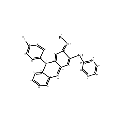 CC(C)/N=c1\cc2n(-c3ccc(F)cc3)c3ccccc3nc-2cc1Nc1cnccn1